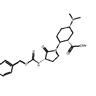 COC(=O)[C@H]1C[C@H](N(C)C)CC[C@@H]1N1CC[C@H](NC(=O)OCc2ccccc2)C1=O